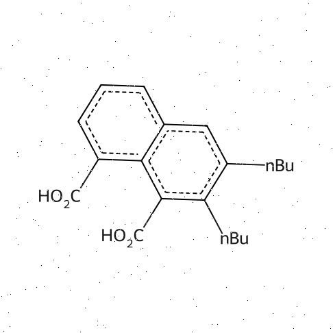 CCCCc1cc2cccc(C(=O)O)c2c(C(=O)O)c1CCCC